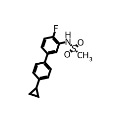 CS(=O)(=O)Nc1cc(-c2ccc(C3CC3)cc2)ccc1F